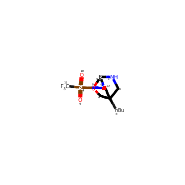 CCCCC12CNB(OC1)N(S(=O)(=O)C(F)(F)F)C2